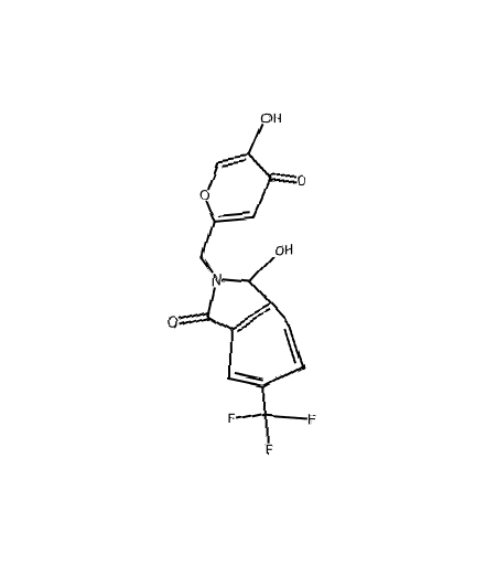 O=C1c2cc(C(F)(F)F)ccc2C(O)N1Cc1cc(=O)c(O)co1